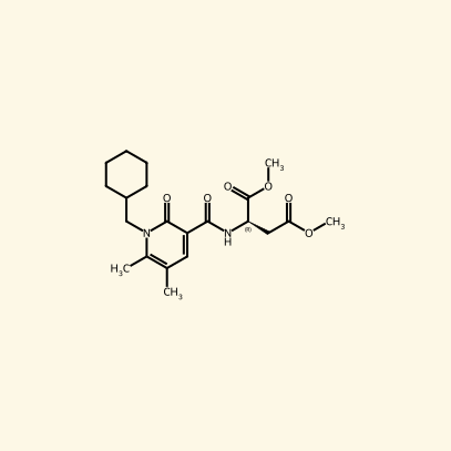 COC(=O)C[C@@H](NC(=O)c1cc(C)c(C)n(CC2CCCCC2)c1=O)C(=O)OC